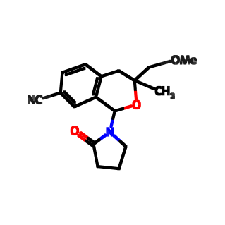 COCC1(C)Cc2ccc(C#N)cc2C(N2CCCC2=O)O1